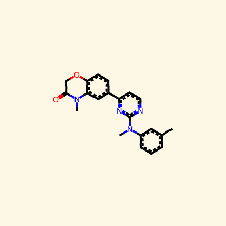 Cc1cccc(N(C)c2nccc(-c3ccc4c(c3)N(C)C(=O)CO4)n2)c1